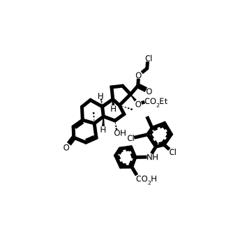 CCOC(=O)O[C@]1(C(=O)OCCl)CC[C@H]2[C@@H]3CCC4=CC(=O)C=C[C@]4(C)[C@H]3[C@@H](O)C[C@@]21C.Cc1ccc(Cl)c(Nc2ccccc2C(=O)O)c1Cl